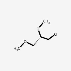 COC[C@@H](CCl)OC